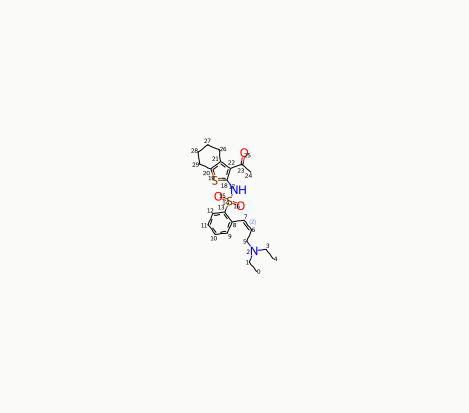 CCN(CC)C/C=C\c1ccccc1S(=O)(=O)Nc1sc2c(c1C(C)=O)CCCC2